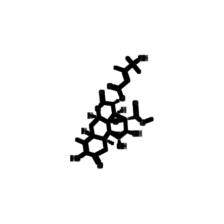 COC(=O)[C@@]12OC[C@]34[C@H]([C@@H](O)[C@@H]1O)[C@@]1(C)CC(=O)C(O)=C(C)[C@@H]1C[C@H]3OC(=O)[C@H](OC(=O)/C=C(\C)C(C)(C)O)[C@@H]24